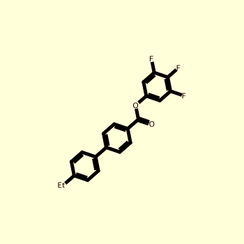 CCc1ccc(-c2ccc(C(=O)Oc3cc(F)c(F)c(F)c3)cc2)cc1